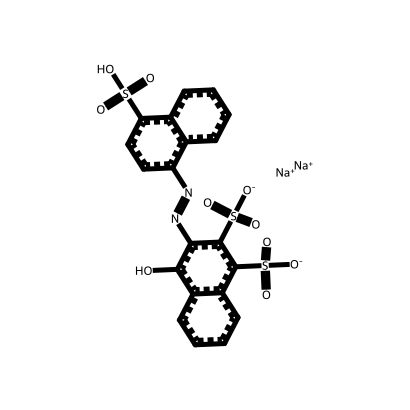 O=S(=O)([O-])c1c(N=Nc2ccc(S(=O)(=O)O)c3ccccc23)c(O)c2ccccc2c1S(=O)(=O)[O-].[Na+].[Na+]